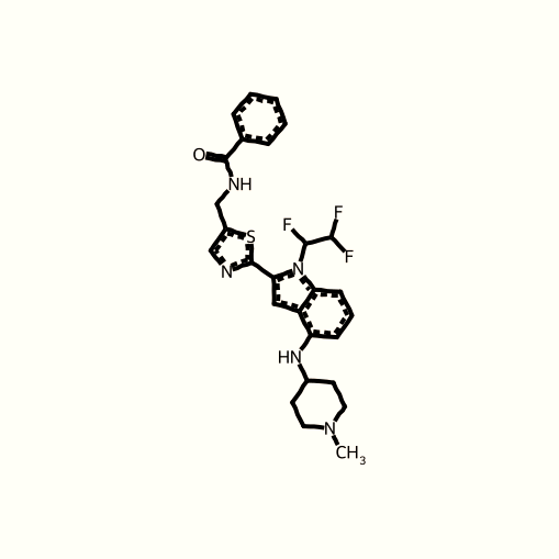 CN1CCC(Nc2cccc3c2cc(-c2ncc(CNC(=O)c4ccccc4)s2)n3C(F)C(F)F)CC1